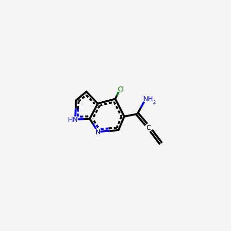 C=C=C(N)c1cnc2[nH]ccc2c1Cl